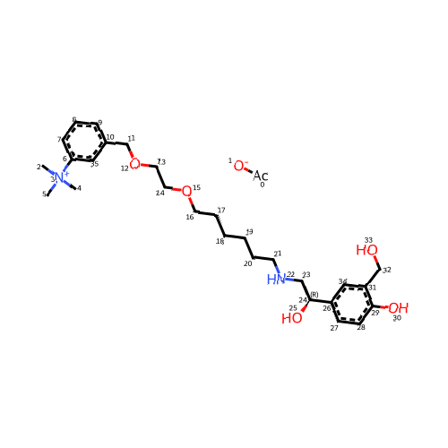 CC(=O)[O-].C[N+](C)(C)c1cccc(COCCOCCCCCCNC[C@H](O)c2ccc(O)c(CO)c2)c1